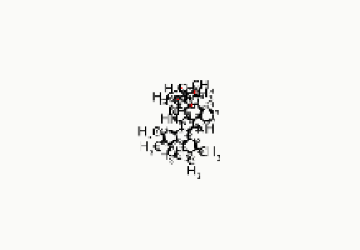 Cc1cc(-c2c(NN)c(-c3cc(C)c(C)c(C)c3)c3c([nH]c4cccc(-c5cc(C)c(C)c(C)c5)c43)c2-c2cc(C)c(C)c(C)c2)cc(C)c1C